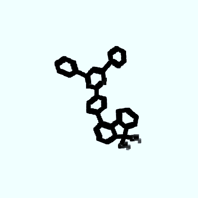 CC1(C)c2ccccc2-c2c(-c3ccc(-c4nc(-c5ccccc5)cc(-c5ccccc5)n4)cc3)cccc21